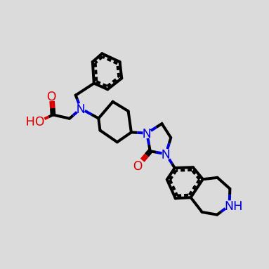 O=C(O)CN(Cc1ccccc1)C1CCC(N2CCN(c3ccc4c(c3)CCNCC4)C2=O)CC1